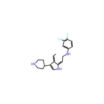 C/C=c1/c(C2CCNCC2)c[nH]/c1=C/CNc1ccc(F)c(F)c1